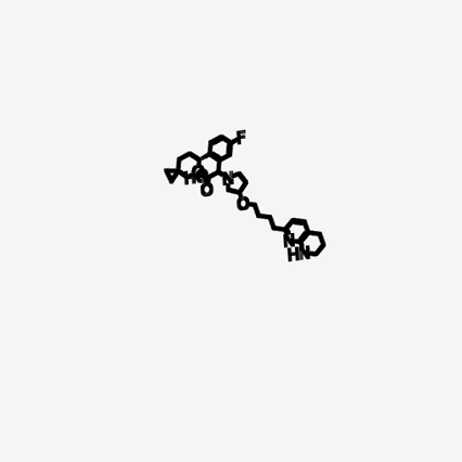 O=C(O)C(c1cc(F)ccc1[C@@H]1CCC2(CC2)CO1)N1CC[C@@H](OCCCCc2ccc3c(n2)NCCC3)C1